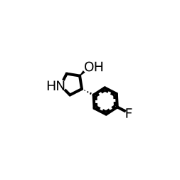 O[C@@H]1CNC[C@H]1c1ccc(F)cc1